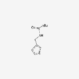 CCCCC(=O)NCc1ccsc1